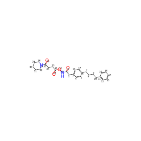 O=C(Cc1ccc(CCCCc2ccccc2)cc1)NOC(=O)CCC(=O)N1CCCCC1